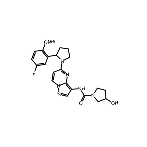 COc1ccc(F)cc1C1CCCN1c1ccn2ncc(NC(=O)N3CCC(O)C3)c2n1